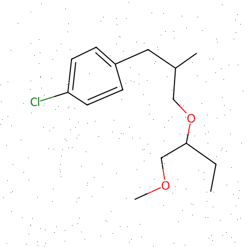 CCC(COC)OCC(C)Cc1ccc(Cl)cc1